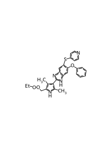 CCOOCc1[nH]c(C)c(-c2nc3cc(Sc4ccncc4)c(Oc4ccccc4)cc3[nH]2)c1C